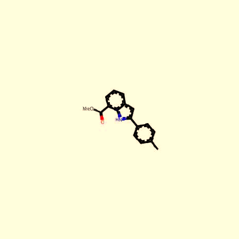 COC(=O)c1cccc2cc(-c3ccc(C)cc3)[nH]c12